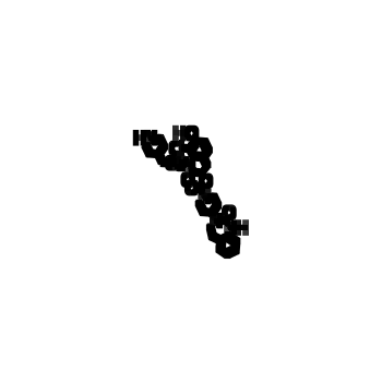 O=C(N=C=C=CC1CCNCC1)[C@@H](Cc1ccc(O)c(Cl)c1)OC(=O)N1CCC(N2CCc3ccccc3NC2=O)CC1